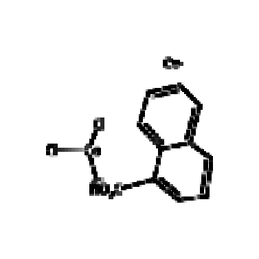 O=C(O)c1cccc2ccccc12.[Cl][Co]([Cl])[Cl].[Co]